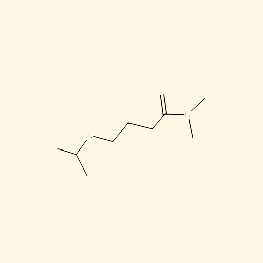 CC(C)NCCCC(=O)N(C)C